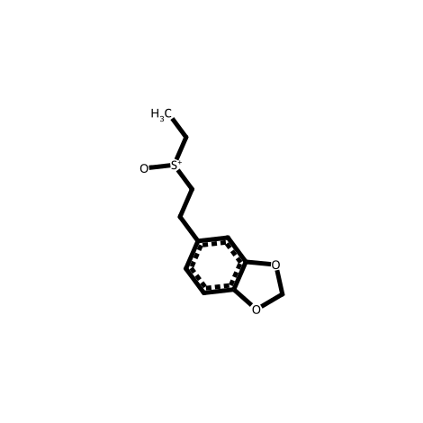 CC[S+]([O-])CCc1ccc2c(c1)OCO2